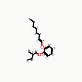 CCCCCCC=COc1c[c]ccc1OCC(C)CC